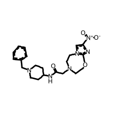 O=C(CN1CCOc2nc([N+](=O)[O-])cn2CC1)NC1CCN(Cc2ccccc2)CC1